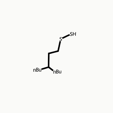 CCCCC(CCCC)CCSS